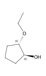 CCO[C@H]1CCC[C@@H]1O